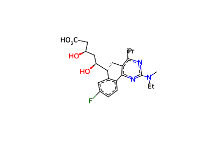 CCN(C)c1nc2c(c(C(C)C)n1)C[C@@H]([C@@H](O)C[C@@H](O)CC(=O)O)c1cc(F)ccc1-2